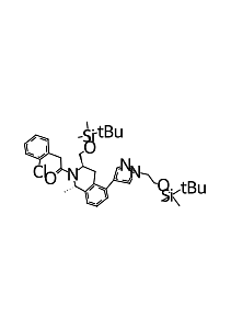 C[C@H]1c2cccc(-c3cnn(CCO[Si](C)(C)C(C)(C)C)c3)c2C[C@H](CO[Si](C)(C)C(C)(C)C)N1C(=O)Cc1ccccc1Cl